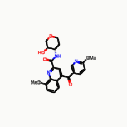 COc1ccc(C(=O)c2cc(C(=O)N[C@H]3CCOC[C@@H]3O)nc3c(OC)cccc23)cn1